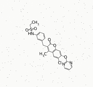 CCS(=O)(=O)Nc1cccc(Cc2c(C)c3cc(Cl)c(Oc4ncccn4)cc3oc2=O)c1